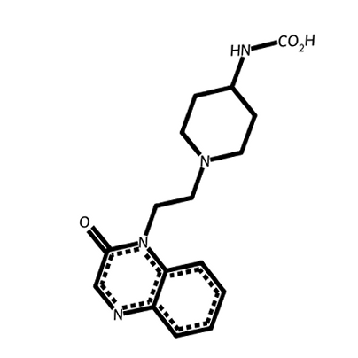 O=C(O)NC1CCN(CCn2c(=O)cnc3ccccc32)CC1